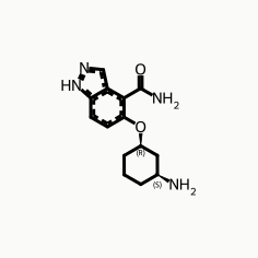 NC(=O)c1c(O[C@@H]2CCC[C@H](N)C2)ccc2[nH]ncc12